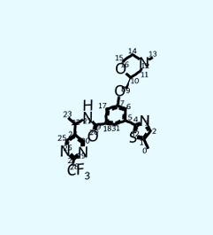 Cc1cnc(-c2cc(OC[C@@H]3CN(C)CCO3)cc(C(=O)NC(C)c3cnc(C(F)(F)F)nc3)c2)s1